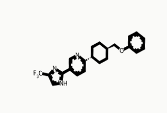 FC(F)(F)c1c[nH]c(-c2ccc([C@H]3CC[C@H](COc4ccccc4)CC3)nc2)n1